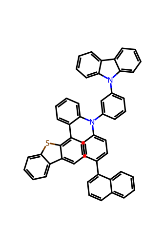 c1cc(N(c2ccc(-c3cccc4ccccc34)cc2)c2ccccc2-c2cccc3c2sc2ccccc23)cc(-n2c3ccccc3c3ccccc32)c1